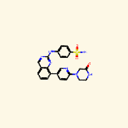 NS(=O)(=O)c1ccc(Nc2ncc3cccc(-c4ccc(N5CCNC(=O)C5)nc4)c3n2)cc1